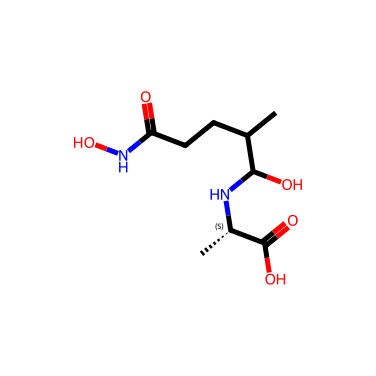 CC(CCC(=O)NO)C(O)N[C@@H](C)C(=O)O